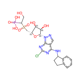 O=P(O)(O)C(CO)S(=O)(=O)C[C@H]1O[C@@H](n2ncc3c(NC4CCc5ccccc54)nc(Cl)nc32)[C@H](O)[C@@H]1O